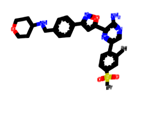 [2H]c1cc(S(=O)(=O)C(C)C)ccc1-c1cnc(N)c(-c2cc(-c3ccc(CNC4CCOCC4)cc3)no2)n1